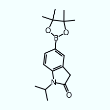 CC(C)N1C(=O)Cc2cc(B3OC(C)(C)C(C)(C)O3)ccc21